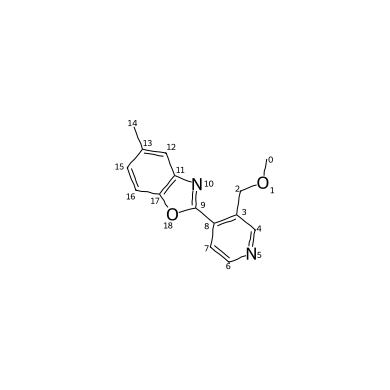 COCc1cnccc1-c1nc2cc(C)ccc2o1